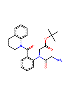 CC(C)(C)OC(=O)CN(C(=O)CN)c1ccccc1C(=O)N1CCCc2ccccc21